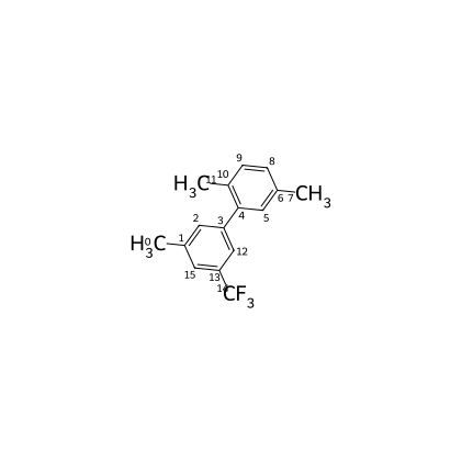 Cc1cc(-c2cc(C)ccc2C)cc(C(F)(F)F)c1